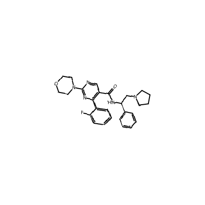 O=C(NC(CN1CCCC1)c1ccccc1)c1cnc(N2CCOCC2)nc1-c1ccccc1F